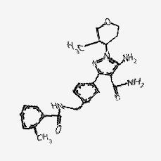 Cc1ccccc1C(=O)NCc1ccc(-c2nn(C3CCOCC3C)c(N)c2C(N)=O)cc1